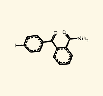 NC(=O)c1ccccc1C(=O)c1ccc(I)cc1